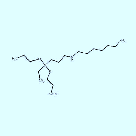 CCCO[Si](CC)(CCCNCCCCCCN)OCCC